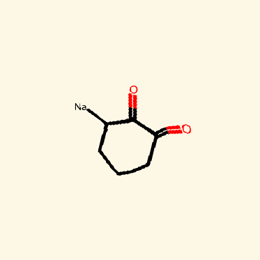 O=C1CCC[CH]([Na])C1=O